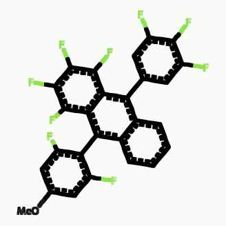 COc1cc(F)c(-c2c3ccccc3c(-c3cc(F)c(F)c(F)c3)c3c(F)c(F)c(F)c(F)c23)c(F)c1